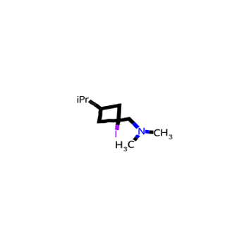 CC(C)C1CC(I)(CN(C)C)C1